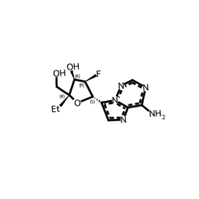 CC[C@]1(CO)O[C@@H](c2cnc3c(N)ncnn23)[C@H](F)[C@@H]1O